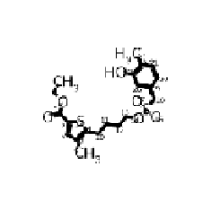 CCOC(=O)c1cc(C)c(CCCCOS(=O)(=O)Cc2ccc(C)c(O)c2)s1